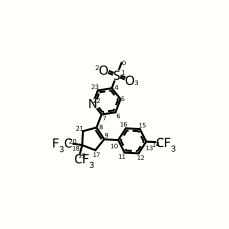 CS(=O)(=O)c1ccc(C2=C(c3ccc(C(F)(F)F)cc3)CC(C(F)(F)F)(C(F)(F)F)C2)nc1